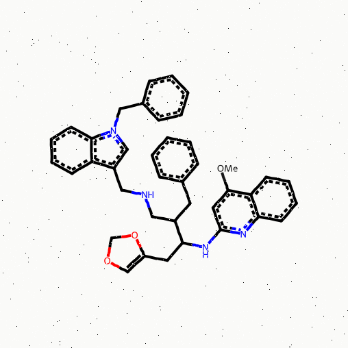 COc1cc(NC(CC2=COCO2)C(CNCc2cn(Cc3ccccc3)c3ccccc23)Cc2ccccc2)nc2ccccc12